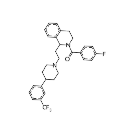 O=C(c1ccc(F)cc1)N1CCc2ccccc2C1CCN1CCC(c2cccc(C(F)(F)F)c2)CC1